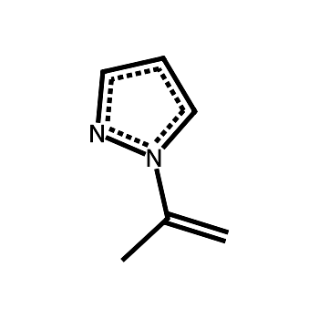 C=C(C)n1cccn1